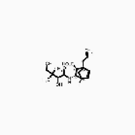 C=CC[C@@]12C=C[C@@H](C1)[C@H](NC(=O)C(O)C(C)(C)CO)[C@H]2C(=O)O